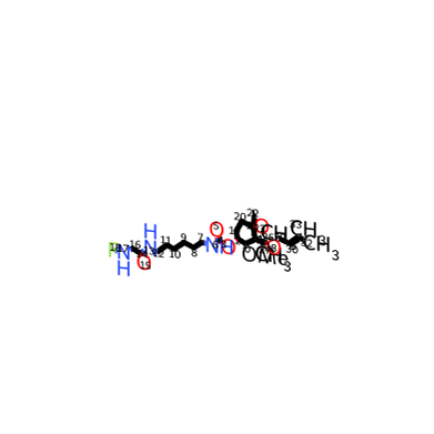 COC1C(OC(=O)NCCCCCCNC(=O)CNF)CCC2(CO2)C1C(C)(C)OCC=C(C)C